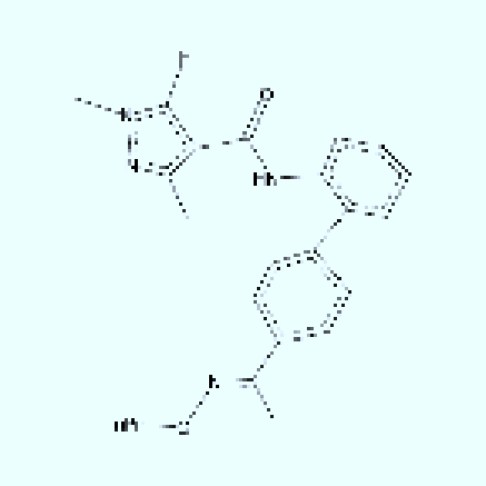 CCCO/N=C(\C)c1ccc(-c2ccccc2NC(=O)c2c(C)nn(C)c2F)cc1